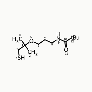 CC(C)(CS)OCCCNC(=O)C(C)(C)C